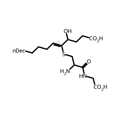 CCCCCCCCCCCCC/C=C(\SCC(N)C(=O)NCC(=O)O)C(O)CCC(=O)O